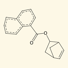 O=C(OC1CC2C=CC1C2)c1cccc2ccccc12